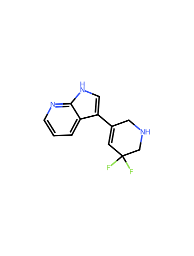 FC1(F)C=C(c2c[nH]c3ncccc23)CNC1